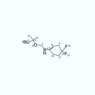 CC(C)(C)C(C)(C)OCBC1=CCC(F)(F)CC1